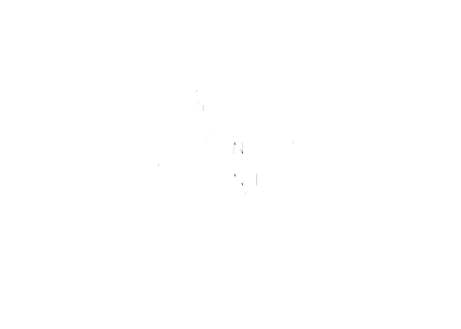 CCCc1[nH]n(-c2ccccc2C)c(=O)c1CC